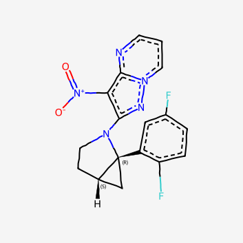 O=[N+]([O-])c1c(N2CC[C@H]3C[C@]32c2cc(F)ccc2F)nn2cccnc12